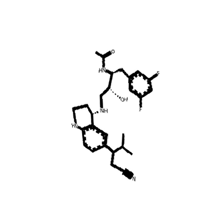 CC(=O)N[C@@H](Cc1cc(F)cc(F)c1)[C@H](O)CN[C@H]1CCNc2ccc(C(CC#N)C(C)C)cc21